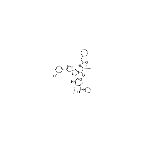 CCC[C@H](NC(=O)[C@@H]1C[C@]2(CC(c3cccc(Cl)c3)=NO2)CN1C(=O)[C@@H](NC(=O)CC1CCCCC1)C(C)(C)C)C(=O)C(=O)N1CCCC1